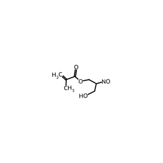 C=C(C)C(=O)OCC(CO)N=O